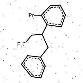 CC(C)c1ccccc1[C](Cc1ccccc1)CC(F)(F)F